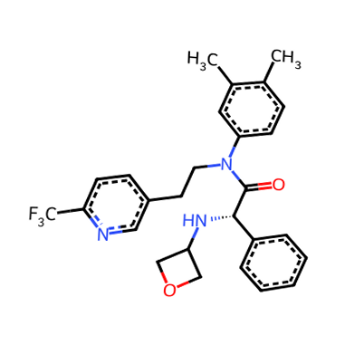 Cc1ccc(N(CCc2ccc(C(F)(F)F)nc2)C(=O)[C@@H](NC2COC2)c2ccccc2)cc1C